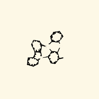 Cc1ccc2c3c1Oc1ccccc1B3c1cccc3c4ccccc4n-2c13